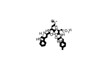 Cc1ccc(C[C@H](NC(=O)[C@H](CC(=O)O)NC(=O)[C@H](CC[S+](C)[O-])NC(=O)[C@H](N)Cc2c[nH]c3ccccc23)C(N)=O)cc1